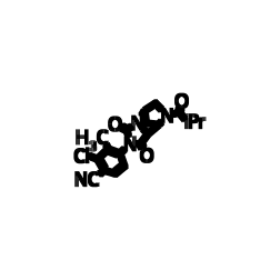 Cc1c(N2C(=O)C3C4CC(CN4C(=O)C(C)C)N3C2=O)ccc(C#N)c1Cl